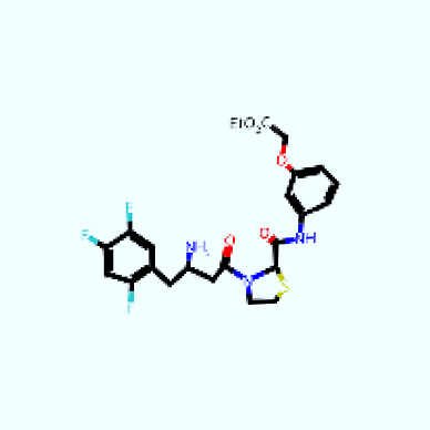 CCOC(=O)COc1cccc(NC(=O)C2SCCN2C(=O)CC(N)Cc2cc(F)c(F)cc2F)c1